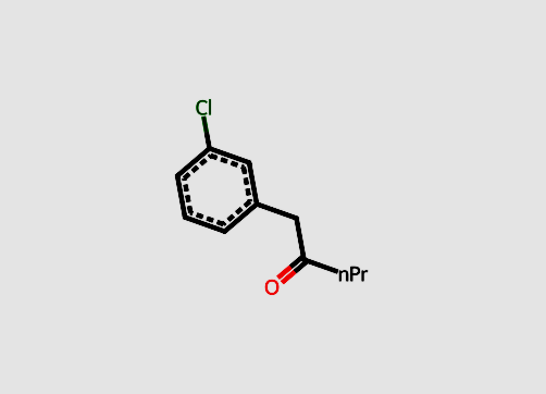 CCCC(=O)Cc1cccc(Cl)c1